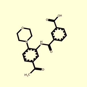 CC(=O)c1ccc(N2CCOCC2)c(NC(=O)c2cccc(C(=O)O)c2)c1